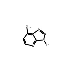 CCn1nnc2c(N)ccnc21